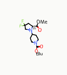 COC(=O)[C@@H]1CC(F)(F)CN1C1CCN(C(=O)OC(C)(C)C)CC1